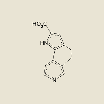 O=C(O)c1cc2c([nH]1)-c1ccncc1CC2